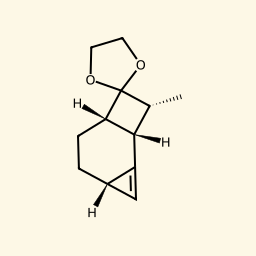 C[C@@H]1[C@@H]2C3=C[C@@H]3CC[C@@H]2C12OCCO2